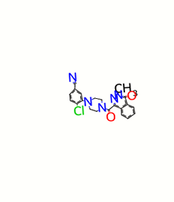 Cn1nc(C(=O)N2CCN(c3cc(C#N)ccc3Cl)CC2)c2ccccc2c1=O